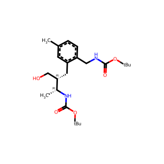 Cc1ccc(CNC(=O)OC(C)(C)C)c(C[C@@H](CO)[C@@H](C)NC(=O)OC(C)(C)C)c1